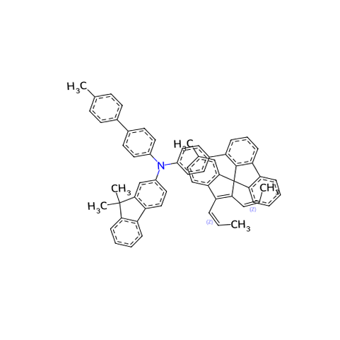 C/C=C\C1=C(/C=C\C)C2(c3cc(C)ccc31)c1ccccc1-c1cccc(-c3ccc(N(c4ccc(-c5ccc(C)cc5)cc4)c4ccc5c(c4)C(C)(C)c4ccccc4-5)cc3)c12